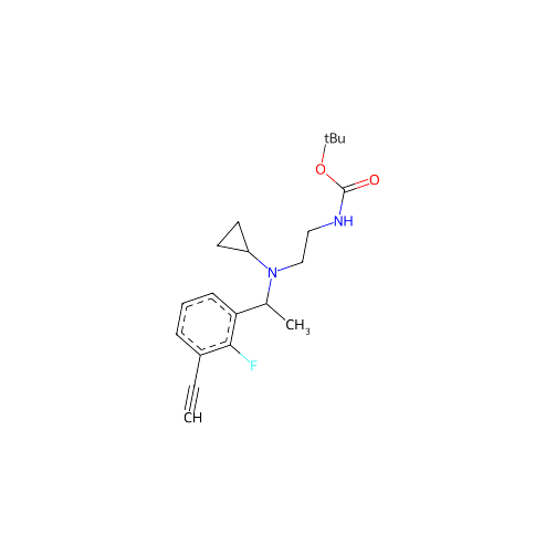 C#Cc1cccc(C(C)N(CCNC(=O)OC(C)(C)C)C2CC2)c1F